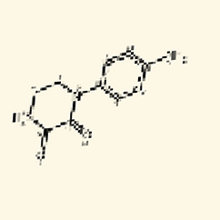 Nc1ccc(N2CC[SH4]C(=O)C2=O)cc1